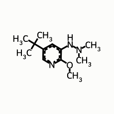 COc1ncc(C(C)(C)C)cc1NN(C)C